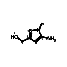 Cn1nc(CO)cc1N